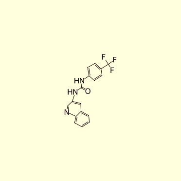 O=C(Nc1ccc(C(F)(F)F)cc1)Nc1cnc2ccccc2c1